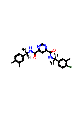 [2H]C([2H])(NC(=O)c1cc(C(=O)NC([2H])([2H])c2ccc(F)c(C)c2)ncn1)c1ccc(C)c(C)c1